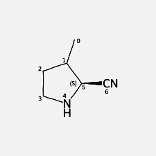 CC1CCN[C@@H]1C#N